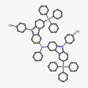 [C-]#[N+]c1ccc(-n2c3ccc(N(c4ccccc4)c4ccc5c(c4)c4cc([Si](c6ccccc6)(c6ccccc6)c6ccccc6)ccc4n5-c4ccc(C#N)cc4)cc3c3cc([Si](c4ccccc4)(c4ccccc4)c4ccccc4)ccc32)cc1